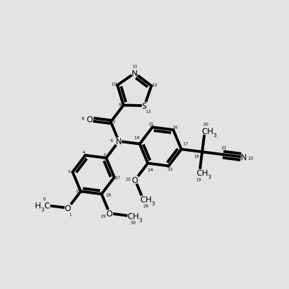 COc1ccc(N(C(=O)c2cncs2)c2ccc(C(C)(C)C#N)cc2OC)cc1OC